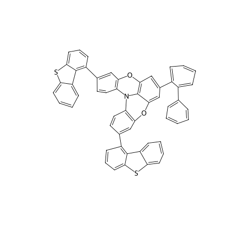 c1ccc(-c2ccccc2-c2cc3c4c(c2)Oc2cc(-c5cccc6sc7ccccc7c56)ccc2N4c2ccc(-c4cccc5sc6ccccc6c45)cc2O3)cc1